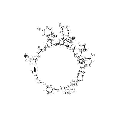 C[C@@]12CCCN1C(=O)[C@H](Cc1ccc(O)cc1)NC(=O)[C@H](Cc1cnc[nH]1)NC(=O)[C@H](CC(=O)O)NC(=O)[C@H](Cc1c[nH]c3ccc(F)cc13)NC(=O)[C@H](Cc1c[nH]c3ccc(F)cc13)NC(=O)CNC(=O)[C@@H](CCCN)NC(=O)CCSCc1cccc(c1)CSC[C@@H](C(N)=O)NC2=O